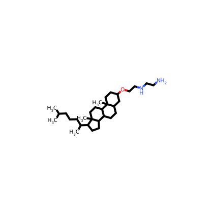 CC(C)CCCC(C)C1CCC2C3CCC4CC(OCCNCCN)CCC4(C)C3CCC12C